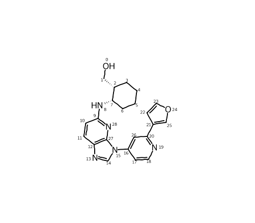 OC[C@@H]1CCCC[C@@H]1Nc1ccc2ncn(-c3ccnc(-c4ccoc4)c3)c2n1